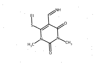 CCSc1c(C=N)c(=O)n(C)c(=O)n1C